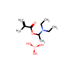 C=C(C)C(=O)OC(C)N(CC)CC.OB(O)O